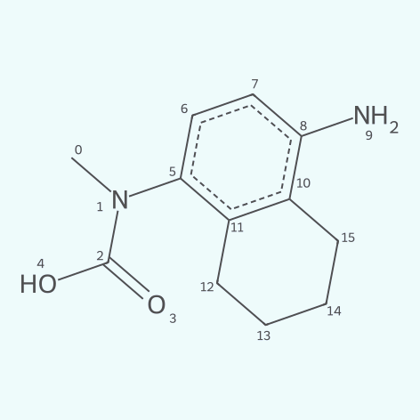 CN(C(=O)O)c1ccc(N)c2c1CCCC2